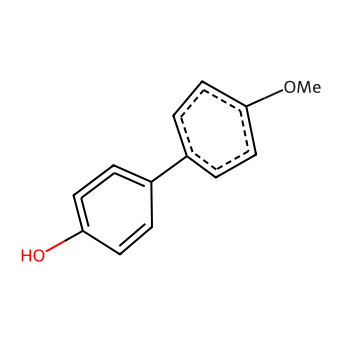 COc1ccc(C2=C=C=C(O)C=C2)cc1